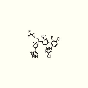 Cn1nncc1-c1cnn(C(CCOC(F)F)c2ccc(-c3c(-n4cc(Cl)nn4)ccc(Cl)c3F)c[n+]2[O-])c1